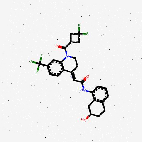 O=C(/C=C1\CCN(C(=O)C2CC(F)(F)C2)c2cc(C(F)(F)F)ccc21)Nc1cccc2c1CC(O)CC2